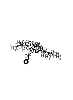 CC(C)[C@H](NC(=O)OC(C)(C)C)C(=O)O[C@H]1C(O[Si](C)(C)C)[C@](C#N)(c2ccc3c(NC(=O)OCOC(=O)C(C)(C)C)ncnn23)O[C@@H]1COC(=O)Cc1ccccc1